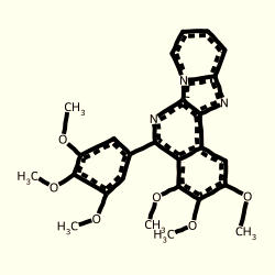 COc1cc(-c2nc3c(nc4ccccn43)c3cc(OC)c(OC)c(OC)c23)cc(OC)c1OC